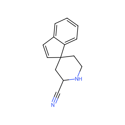 N#CC1CC2(C=Cc3ccccc32)CCN1